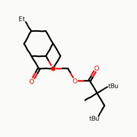 CCC1CC2CCC(=O)C(C1)C2OCOC(=O)C(C)(CC(C)(C)C)C(C)(C)C